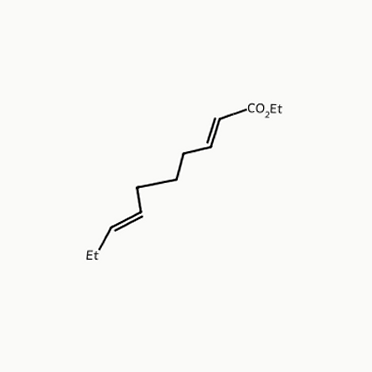 CC/C=C/CCC/C=C/C(=O)OCC